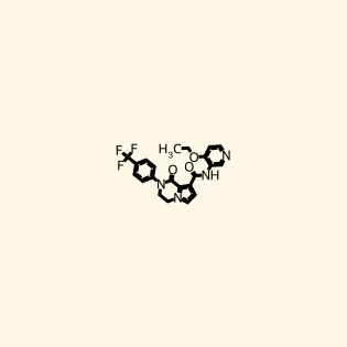 CCOc1ccncc1NC(=O)c1ccn2c1C(=O)N(c1ccc(C(F)(F)F)cc1)CC2